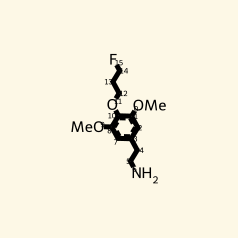 COc1cc(CCN)cc(OC)c1OCCCF